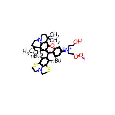 CCCCc1c2c3c(c(CCCC)c1-c1c4cc/c(=[N+](/CCO)CCOOI)cc-4oc4c5c6c(cc14)C(C)(C)CCN6CCC5(C)C)SCCN3CCS2